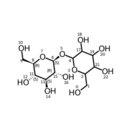 OCC1OC(O[C@@H]2O[C@H](CO)[C@@H](O)[C@H](O)[C@H]2O)C(O)C(O)C1O